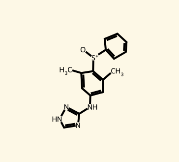 Cc1cc(Nc2nc[nH]n2)cc(C)c1[S+]([O-])c1ccccc1